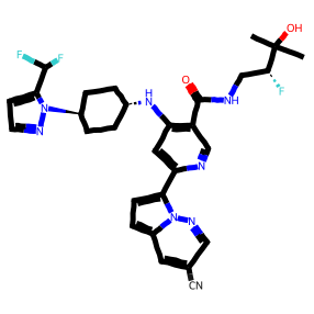 CC(C)(O)[C@H](F)CNC(=O)c1cnc(-c2ccc3cc(C#N)cnn23)cc1N[C@H]1CC[C@H](n2nccc2C(F)F)CC1